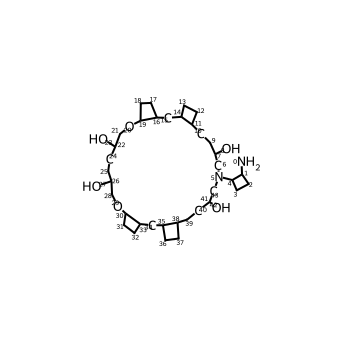 NC1CCC1N1CC(O)CCC2CCC2CC2CCC2OCC(O)CCC(O)COC2CCC2CC2CCC2CCC(O)C1